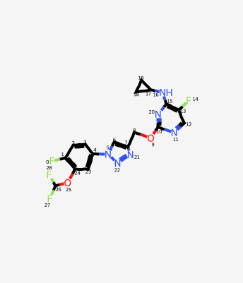 Fc1ccc(-n2cc(COc3ncc(F)c(NC4CC4)n3)nn2)cc1OC(F)F